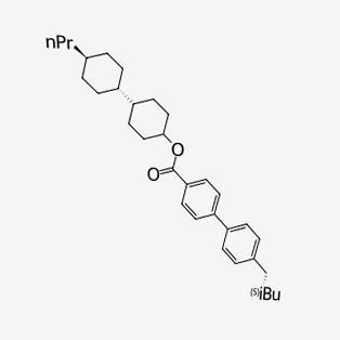 CCC[C@H]1CC[C@H](C2CCC(OC(=O)c3ccc(-c4ccc(C[C@@H](C)CC)cc4)cc3)CC2)CC1